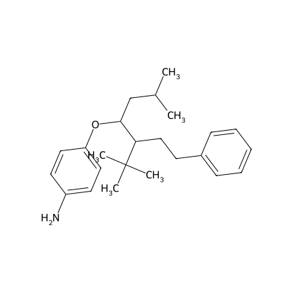 CC(C)CC(Oc1ccc(N)cc1)C(CCc1ccccc1)C(C)(C)C